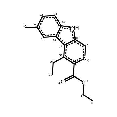 CCOC(=O)c1ncc2[nH]c3ccc(C)cc3c2c1CC